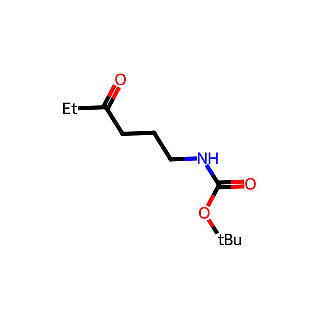 CCC(=O)CCCNC(=O)OC(C)(C)C